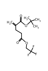 C=C(CCC(=O)OCC(F)(F)F)C(=O)OC(C)(C)C